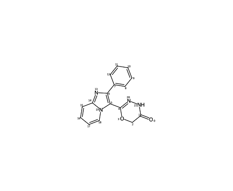 O=C1COC(c2c(-c3ccccc3)nc3ccccn23)=NN1